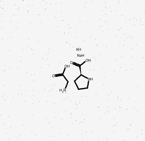 NCC(=O)O.O=C(O)[C@@H]1CCCN1.[KH].[NaH]